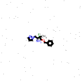 CC(F)(COCc1ccccc1)[C@H](N)Cn1cccn1